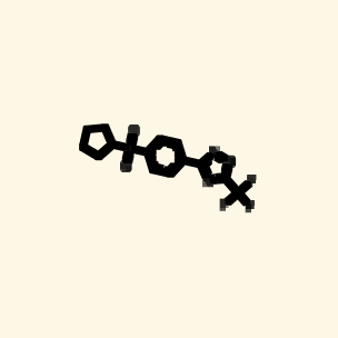 O=S(=O)(c1ccc(-c2noc(C(F)(F)F)n2)cc1)C1CCCC1